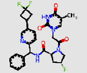 Cc1cn(CC(=O)N2C[C@H](F)C[C@H]2C(=O)N[C@@H](c2ccccc2)c2ccc(C3CC(F)(F)C3)cn2)c(=O)[nH]c1=O